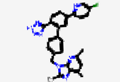 CCc1nc2c(C)cc(C)nc2n1Cc1ccc(-c2cc(-c3ccc(F)cn3)ccc2-c2nn[nH]n2)cc1